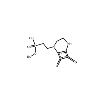 CCC(C)OP(=O)(O)CCN1CCNc2c1c(=O)c2=O